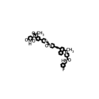 C[C@H](c1ccc(C#CC2CCN(C(=O)CN3CCC(c4ccc5c(c4)n(C)c(=O)n5C4CCC(=O)NC4=O)CC3)CC2)c2ccccc12)N1CCC(C(=O)NCc2cccc(F)c2)CC1